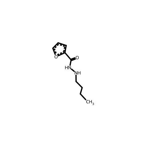 CCCCNNC(=O)c1ccco1